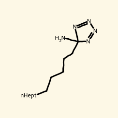 CCCCCCCCCCCCC1(N)N=NN=N1